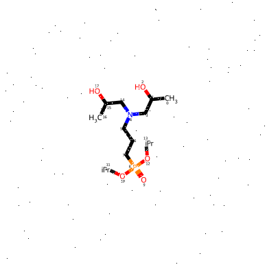 CC(O)CN(CCCP(=O)(OC(C)C)OC(C)C)CC(C)O